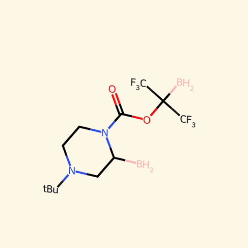 BC1CN(C(C)(C)C)CCN1C(=O)OC(B)(C(F)(F)F)C(F)(F)F